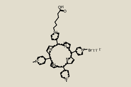 C[n+]1ccc(-c2c3nc(c(-c4cc[n+](C)cc4)c4ccc([nH]4)c(-c4cc[n+](CCCCCC(=O)O)cc4)c4nc(c(-c5cc[n+](C)cc5)c5ccc2[nH]5)C=C4)C=C3)cc1.[Br-].[I-].[I-].[I-]